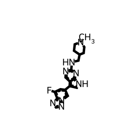 CN1CCC(CNc2ncc3c(-c4cc(F)c5ncnn5c4)c[nH]c3n2)CC1